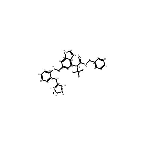 CC(C)(C)N(C(=O)OCc1ccccc1)c1cc(COc2ccccc2Cc2nn[nH]n2)cc2occc12